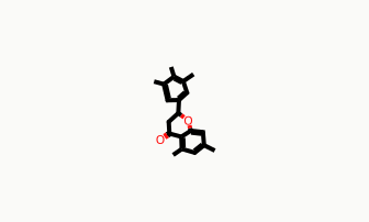 Cc1cc(C)c2c(c1)OC(c1cc(C)c(C)c(C)c1)CC2=O